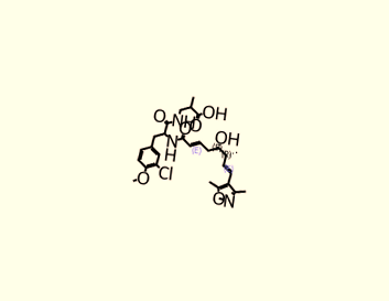 COc1ccc(CC(NC(=O)/C=C/C[C@H](O)[C@H](C)/C=C/c2c(C)noc2C)C(=O)NCC(C)C(=O)O)cc1Cl